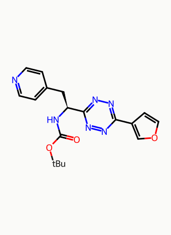 CC(C)(C)OC(=O)N[C@@H](Cc1ccncc1)c1nnc(-c2ccoc2)nn1